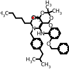 CCCCCC(C)N(Cc1ccc(CC(C)C)cc1)C(Nc1ccccc1OCc1ccccc1)=C1C(=O)OC(C)(C)OC1=O